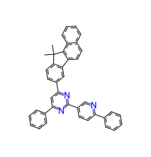 CC1(C)c2ccc(-c3cc(-c4ccccc4)nc(-c4ccc(-c5ccccc5)nc4)n3)cc2-c2ccc3ccccc3c21